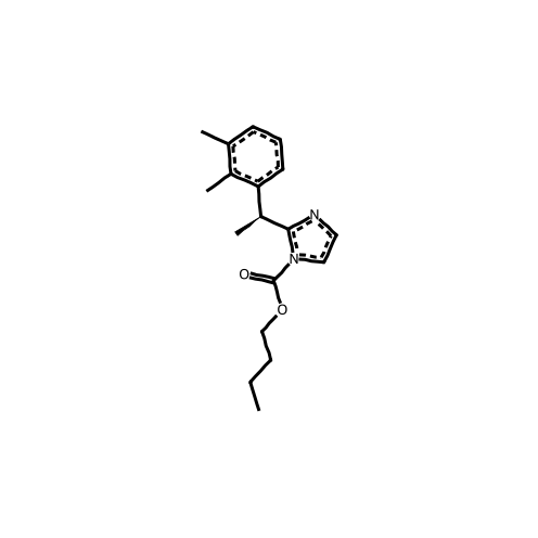 CCCCOC(=O)n1ccnc1[C@@H](C)c1cccc(C)c1C